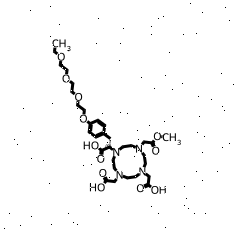 CCOCCOCCOCCOc1ccc(C[C@@H](C(=O)O)N2CCN(CC(=O)O)CCN(CC(=O)O)CCN(CC(=O)OC)CC2)cc1